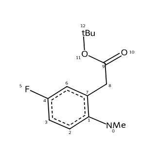 CNc1ccc(F)cc1CC(=O)OC(C)(C)C